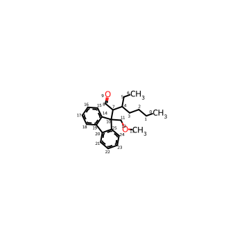 CCCCC(CC)C(C=O)C1(COC)c2ccccc2-c2ccccc21